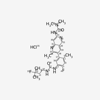 Cc1cc(F)c(NC(=O)NCCC(C)(C)F)cc1-c1cc2cnc(NC(=O)N(C)C)cc2nc1C.Cl